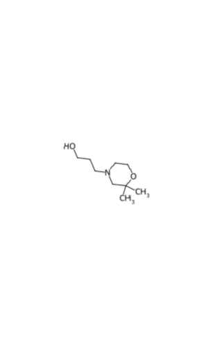 CC1(C)CN(CCCO)CCO1